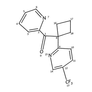 O=C(c1ccccn1)C1(c2ccc(C(F)(F)F)cn2)CCC1